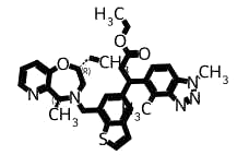 CCOC(=O)CC(c1cc(CN2C[C@@H](CC)Oc3cccnc3[C@@H]2C)c2sccc2c1)c1ccc2c(nnn2C)c1C